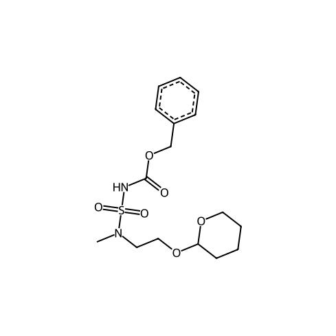 CN(CCOC1CCCCO1)S(=O)(=O)NC(=O)OCc1ccccc1